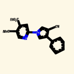 CCOC(=O)c1cc(-n2cc(C#N)c(-c3ccccc3)c2)ncc1OC